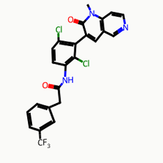 Cn1c(=O)c(-c2c(Cl)ccc(NC(=O)Cc3cccc(C(F)(F)F)c3)c2Cl)cc2cnccc21